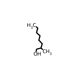 CCCCCCC(C)CO